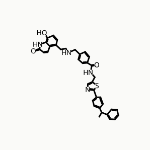 CC(c1ccccc1)c1ccc(-c2ncc(CNC(=O)c3ccc(CNCCc4ccc(O)c5[nH]c(=O)ccc45)cc3)s2)cc1